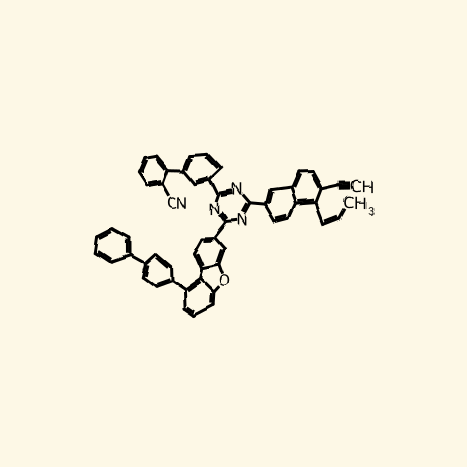 C#Cc1ccc2cc(-c3nc(-c4cccc(-c5ccccc5C#N)c4)nc(-c4ccc5c(c4)oc4cccc(-c6ccc(-c7ccccc7)cc6)c45)n3)ccc2c1/C=C\C